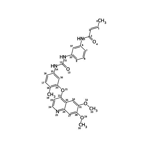 C/C=C/C(=O)Nc1cccc(NC(=O)Nc2ccc(C)c(Oc3ccnc4cc(OC)c(OC)cc34)c2)c1